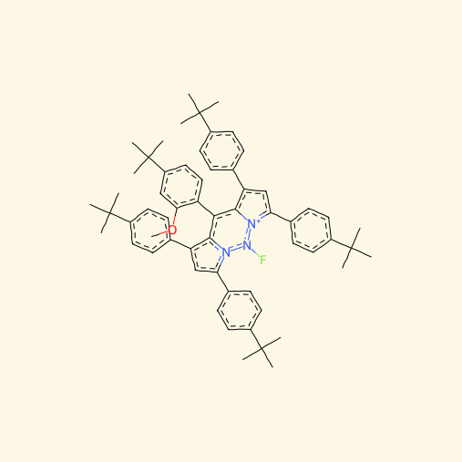 COc1cc(C(C)(C)C)ccc1-c1c2c(-c3ccc(C(C)(C)C)cc3)cc(-c3ccc(C(C)(C)C)cc3)[n+]-2n(F)n2c(-c3ccc(C(C)(C)C)cc3)cc(-c3ccc(C(C)(C)C)cc3)c12